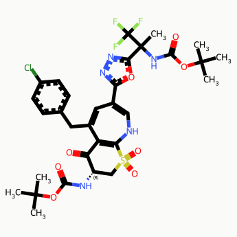 CC(C)(C)OC(=O)N[C@H]1CS(=O)(=O)C2=C(C1=O)C(Cc1ccc(Cl)cc1)=CC(c1nnc(C(C)(NC(=O)OC(C)(C)C)C(F)(F)F)o1)=CN2